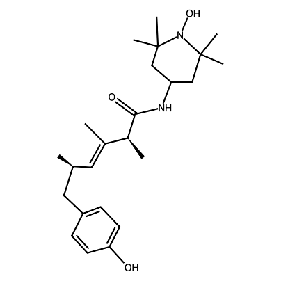 C/C(=C\[C@H](C)Cc1ccc(O)cc1)[C@H](C)C(=O)NC1CC(C)(C)N(O)C(C)(C)C1